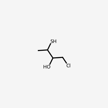 CC(S)C(O)CCl